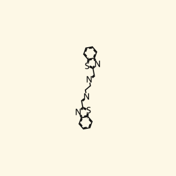 C(=NCCN=Cc1nc2ccccc2s1)c1nc2ccccc2s1